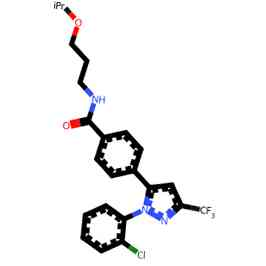 CC(C)OCCCNC(=O)c1ccc(-c2cc(C(F)(F)F)nn2-c2ccccc2Cl)cc1